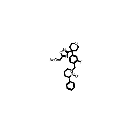 CC(=O)OCc1nc(C2(c3ccc(CN4CCC[C@H](c5ccccc5)[S+]4[O-])c(F)c3)CCOCC2)no1